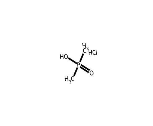 CP(C)(=O)O.Cl